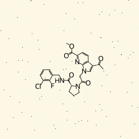 COC(=O)c1ccc2c(C(C)=O)cn(CC(=O)N3CCC[C@H]3C(=O)NCc3cccc(Cl)c3F)c2n1